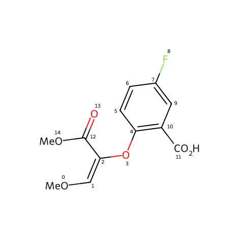 COC=C(Oc1ccc(F)cc1C(=O)O)C(=O)OC